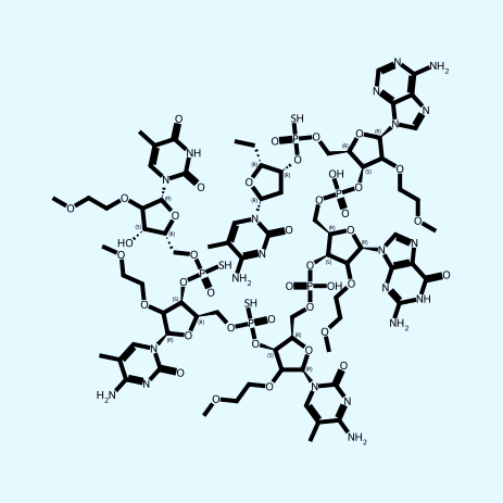 CC[C@H]1O[C@@H](n2cc(C)c(N)nc2=O)C[C@H]1OP(=O)(S)OC[C@H]1O[C@@H](n2cnc3c(N)ncnc32)C(OCCOC)[C@H]1OP(=O)(O)OC[C@H]1O[C@@H](n2cnc3c(=O)[nH]c(N)nc32)C(OCCOC)[C@H]1OP(=O)(O)OC[C@H]1O[C@@H](n2cc(C)c(N)nc2=O)C(OCCOC)[C@H]1OP(=O)(S)OC[C@H]1O[C@@H](n2cc(C)c(N)nc2=O)C(OCCOC)[C@H]1OP(=O)(S)OC[C@H]1O[C@@H](n2cc(C)c(=O)[nH]c2=O)C(OCCOC)[C@H]1O